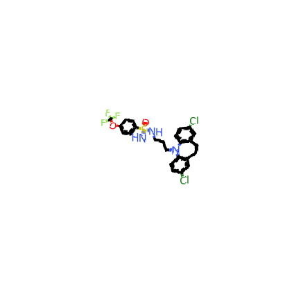 N=S(=O)(NCCCN1c2ccc(Cl)cc2CCc2cc(Cl)ccc21)c1ccc(OC(F)(F)F)cc1